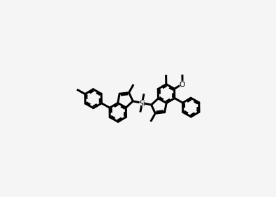 COc1c(C)cc2c(c1-c1ccccc1)C=C(C)C2[Si](C)(C)C1C(C)=Cc2c(-c3ccc(C)cc3)cccc21